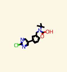 CC(C)(C)N(Cc1cccc(-c2cnc(Cl)nc2)c1)C(=O)O